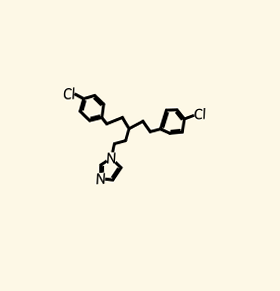 Clc1ccc(CCC(CCc2ccc(Cl)cc2)CCn2ccnc2)cc1